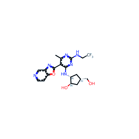 Cc1nc(NCC(F)(F)F)nc(N[C@@H]2C[C@H](CO)C[C@H]2O)c1-c1nc2cnccc2o1